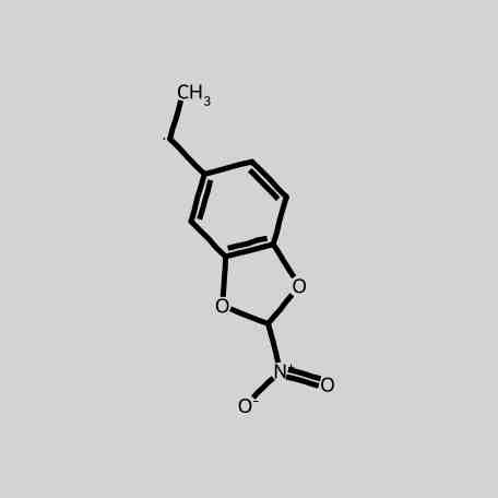 C[CH]c1ccc2c(c1)OC([N+](=O)[O-])O2